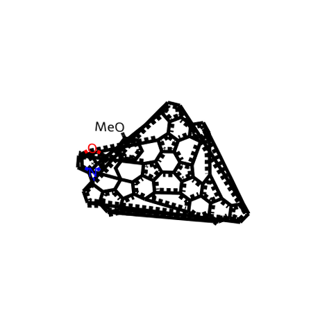 COc1cccc(CC23c4c5c6c7c8c9c%10c%11c(c2c2c%12c3c3c%13c4c6c4c6c%13c%13c3c3c%12c%12c%14c2c%11c2c%11c%10c%10c8c8c7c4c4c6c6c%13c7c3c%12c3c(c%142)c2c%11c%10c%10c8c4c4c%10c2c3c7c64)C59N2CCOCC2)c1